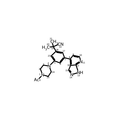 CC(=O)N1CCN(c2cc(-c3ccnc4[nH]ncc34)cc(C(C)(C)C#N)c2)CC1